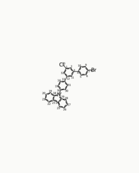 Clc1cc(-c2ccc(Br)cc2)cc(-c2ccc(-n3c4ccccc4c4ccccc43)cc2)c1